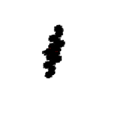 Cc1cc(C)c(B(C2c3ccccc3N(n3c4ccccc4c4cc5c(cc43)c3ccccc3n5-c3ccc4sc5ccccc5c4c3)c3ccccc32)C2c3ccccc3N(n3c4ccccc4c4cc5c(cc43)c3ccccc3n5-c3ccc4sc5ccccc5c4c3)C3C=CC=CC23)c(C)c1